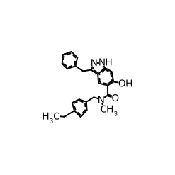 CCc1ccc(CN(C)C(=O)c2cc3c(Cc4ccccc4)n[nH]c3cc2O)cc1